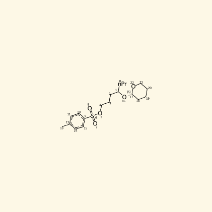 CCCC(CCCOS(=O)(=O)c1ccc(C)cc1)O[C@H]1CCCCO1